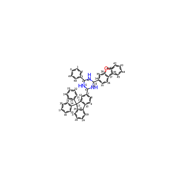 c1ccc(C2NC(c3ccc4c(c3)C(c3ccccc3)(c3ccccc3)c3ccccc3-4)NC(c3ccc4c(c3)oc3ccccc34)N2)cc1